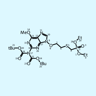 CCOP(=O)(CSCCOn1cnc2c(OC)nc(N(C(=O)OC(C)(C)C)C(=O)OC(C)(C)C)nc21)OCC